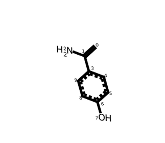 C=C(N)c1ccc(O)cc1